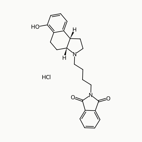 Cl.O=C1c2ccccc2C(=O)N1CCCCN1CC[C@H]2c3cccc(O)c3CC[C@H]21